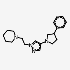 c1ccc(C2CCN(c3cnn(CCN4CCCCC4)c3)C2)cc1